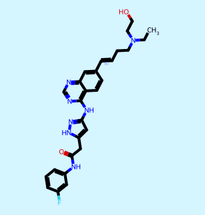 CCN(CCO)CC/C=C/c1ccc2c(Nc3cc(CC(=O)Nc4cccc(F)c4)[nH]n3)ncnc2c1